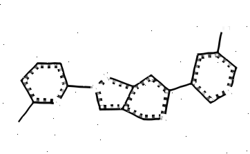 CC(C)c1cncc(-c2cc3nn(-c4cccc(F)n4)cc3cn2)c1